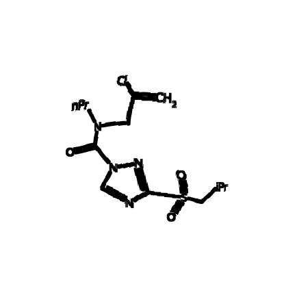 C=C(Cl)CN(CCC)C(=O)n1cnc(S(=O)(=O)CC(C)C)n1